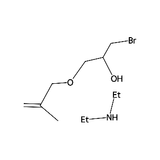 C=C(C)COCC(O)CBr.CCNCC